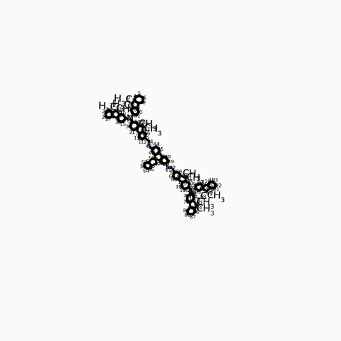 CC1(C)c2ccccc2-c2ccc(N(c3ccc4c(c3)C(C)(C)c3ccccc3-4)c3ccc4c(c3)C(C)(C)c3cc(/C=C/c5ccc6c(c5)C5(Cc7ccccc7C5)c5cc(/C=C/c7ccc8c(c7)C(C)(C)c7cc(N(c9ccc%10c(c9)C(C)(C)c9ccccc9-%10)c9ccc%10c(c9)C(C)(C)c9ccccc9-%10)ccc7-8)ccc5-6)ccc3-4)cc21